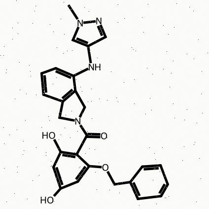 Cn1cc(Nc2cccc3c2CN(C(=O)c2c(O)cc(O)cc2OCc2ccccc2)C3)cn1